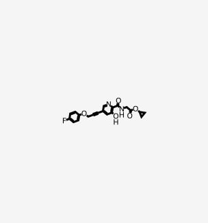 O=C(CNC(=O)c1ncc(C#CCOc2ccc(F)cc2)cc1O)OC1CC1